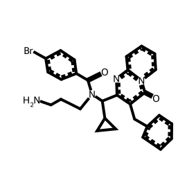 NCCCN(C(=O)c1ccc(Br)cc1)C(c1nc2ccccn2c(=O)c1Cc1ccccc1)C1CC1